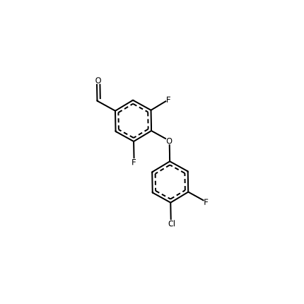 O=Cc1cc(F)c(Oc2ccc(Cl)c(F)c2)c(F)c1